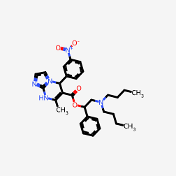 CCCCN(CCCC)CC(OC(=O)C1=C(C)Nc2nccn2C1c1cccc([N+](=O)[O-])c1)c1ccccc1